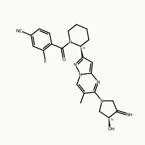 Cc1cn2nc([C@@H]3CCCCN3C(=O)c3ccc(C#N)cc3F)cc2nc1N1CC(=N)[C@@H](O)C1